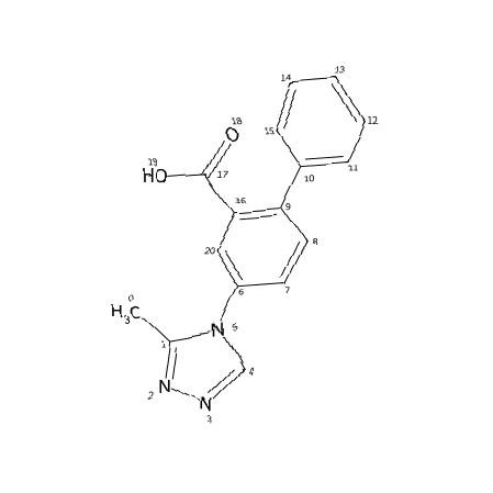 Cc1nncn1-c1ccc(-c2ccccc2)c(C(=O)O)c1